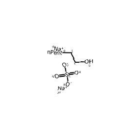 CCCCCCCO.O=S(=O)([O-])[O-].[Na+].[Na+]